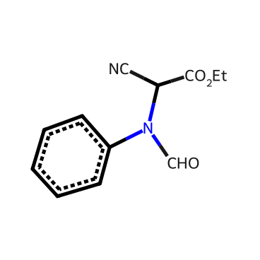 CCOC(=O)C(C#N)N(C=O)c1ccccc1